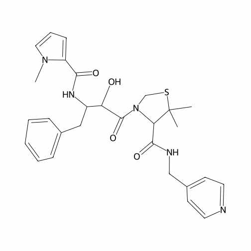 Cn1cccc1C(=O)NC(Cc1ccccc1)C(O)C(=O)N1CSC(C)(C)C1C(=O)NCc1ccncc1